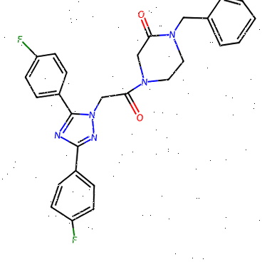 O=C(Cn1nc(-c2ccc(F)cc2)nc1-c1ccc(F)cc1)N1CCN(Cc2ccccc2)C(=O)C1